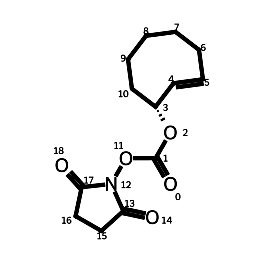 O=C(O[C@H]1/C=C/CCCCC1)ON1C(=O)CCC1=O